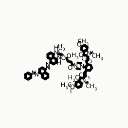 CCN1/C(=C/C=C2\CCCC(/C=C/C3=[N+](CC)c4ccc(OC)cc4C3(C)C)=C2N2CCN(C(=O)CCC(=O)OCC3(C)Nc4cccc5c(/N=N/c6ccc(/N=N/c7ccccc7)c7ccccc67)ccc(c45)N3)CC2)C(C)(C)c2cc(OC)ccc21.[I-]